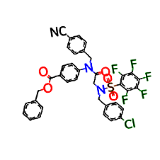 N#Cc1ccc(CN(C(=O)CN(Cc2ccc(Cl)cc2)S(=O)(=O)c2c(F)c(F)c(F)c(F)c2F)c2ccc(C(=O)OCc3ccccc3)cc2)cc1